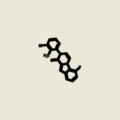 Cc1c(Cl)ccnc1-n1ccn2c(cc3cccc(F)c32)c1=O